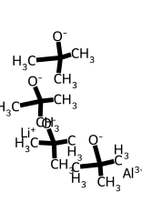 CC(C)(C)[O-].CC(C)(C)[O-].CC(C)(C)[O-].CC(C)(C)[O-].[Al+3].[Li+]